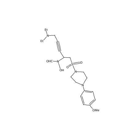 CCN(CC)CC#CC(CS(=O)(=O)N1CCN(c2ccc(OC)cc2)CC1)N(O)C=O